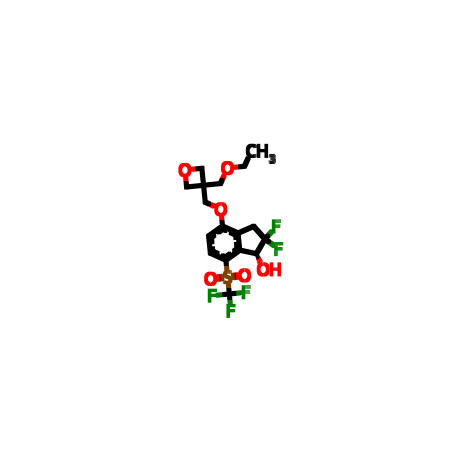 CCOCC1(COc2ccc(S(=O)(=O)C(F)(F)F)c3c2CC(F)(F)[C@H]3O)COC1